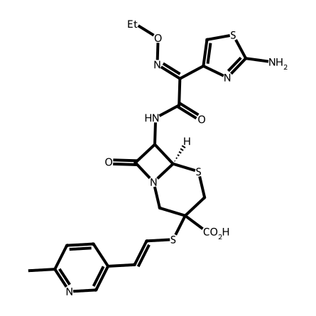 CCON=C(C(=O)NC1C(=O)N2CC(SC=Cc3ccc(C)nc3)(C(=O)O)CS[C@H]12)c1csc(N)n1